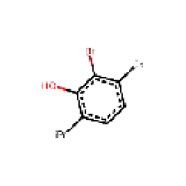 CCc1ccc(C(C)C)c(O)c1Br